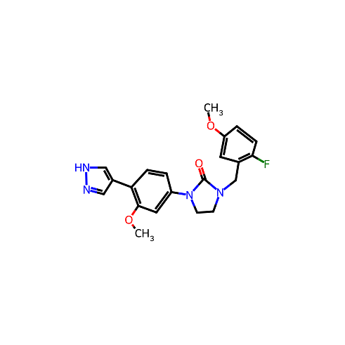 COc1ccc(F)c(CN2CCN(c3ccc(-c4cn[nH]c4)c(OC)c3)C2=O)c1